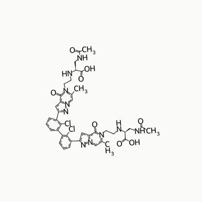 CC(=O)NC[C@H](NCCn1c(C)cn2nc(-c3cccc(-c4cccc(-c5cc6c(=O)n(CCN[C@@H](CNC(C)=O)C(=O)O)c(C)cn6n5)c4Cl)c3Cl)cc2c1=O)C(=O)O